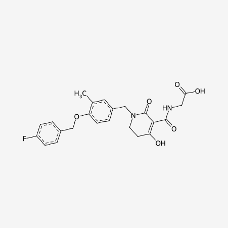 Cc1cc(CN2CCC(O)=C(C(=O)NCC(=O)O)C2=O)ccc1OCc1ccc(F)cc1